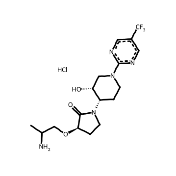 CC(N)CO[C@@H]1CCN([C@H]2CCN(c3ncc(C(F)(F)F)cn3)C[C@H]2O)C1=O.Cl